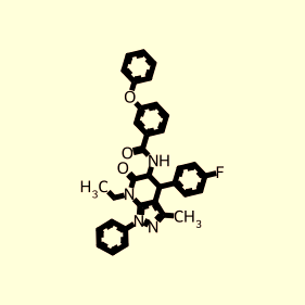 CCN1C(=O)C(NC(=O)c2cccc(Oc3ccccc3)c2)C(c2ccc(F)cc2)c2c(C)nn(-c3ccccc3)c21